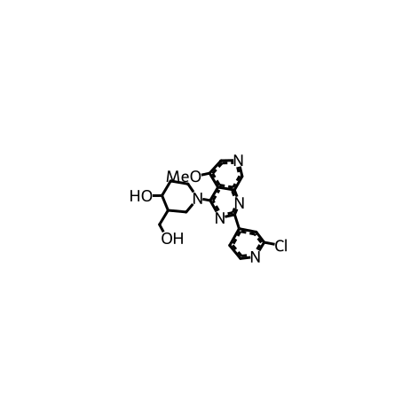 COc1cncc2nc(-c3ccnc(Cl)c3)nc(N3CCC(O)C(CO)C3)c12